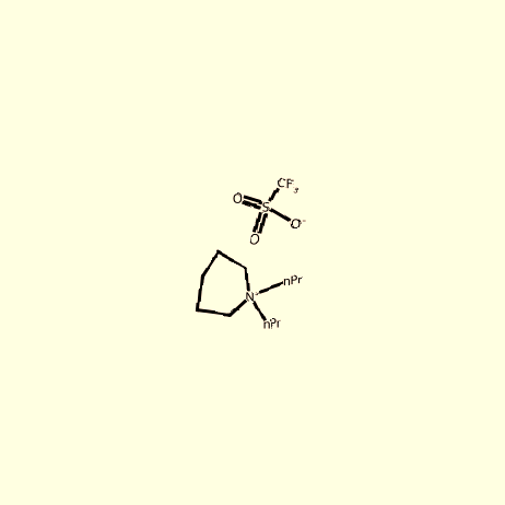 CCC[N+]1(CCC)CCCCC1.O=S(=O)([O-])C(F)(F)F